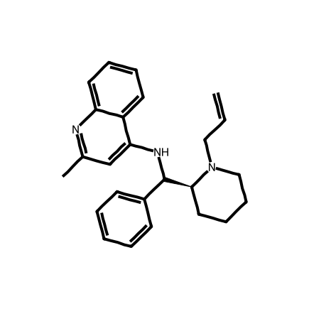 C=CCN1CCCC[C@H]1C(Nc1cc(C)nc2ccccc12)c1ccccc1